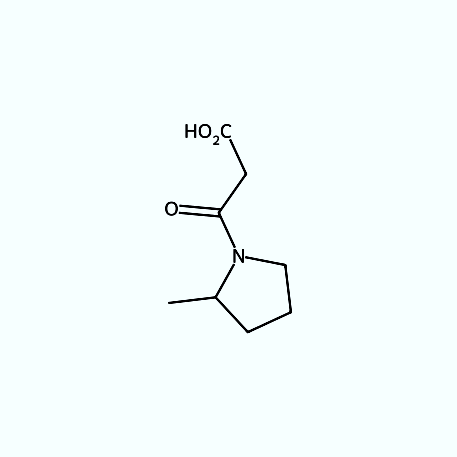 CC1CCCN1C(=O)CC(=O)O